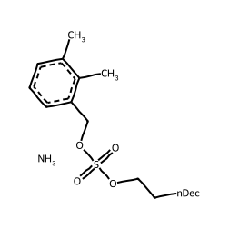 CCCCCCCCCCCCOS(=O)(=O)OCc1cccc(C)c1C.N